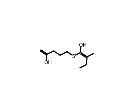 C=C(O)CCCS/C(O)=C(/C)CC